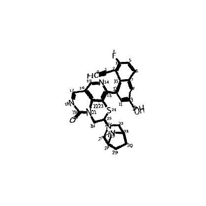 C#Cc1c(F)ccc2cc(O)cc(-c3ncc4cnc(=O)n5c4c3SC(N3CC4CCC(C3)N4)C5)c12